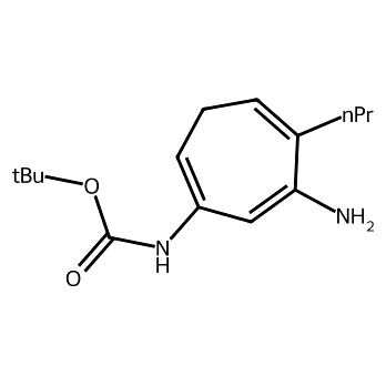 CCCC1=CCC=C(NC(=O)OC(C)(C)C)C=C1N